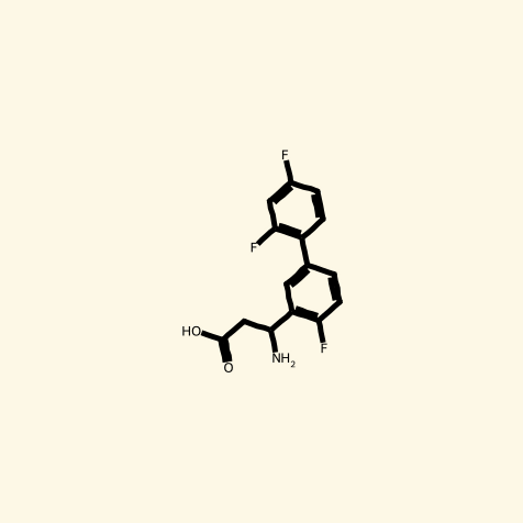 NC(CC(=O)O)c1cc(-c2ccc(F)cc2F)ccc1F